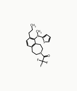 CCCc1ccc2c(c1N(C)c1cccs1)CCN(C(=O)C(F)(F)F)CC2